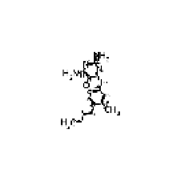 C=C/C=C/c1cc(Oc2cnc(N)nc2N)c(I)cc1C